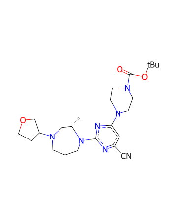 C[C@H]1CN(C2CCOC2)CCCN1c1nc(C#N)cc(N2CCN(C(=O)OC(C)(C)C)CC2)n1